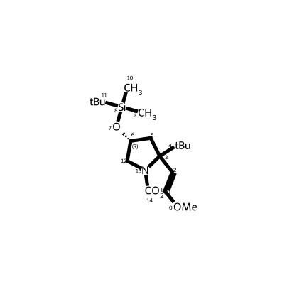 COC=CC1(C(C)(C)C)C[C@@H](O[Si](C)(C)C(C)(C)C)CN1C(=O)O